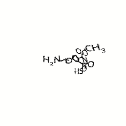 CCOC(=O)C1c2ccc(OCCN)cc2C2CN1C(=O)N2OS